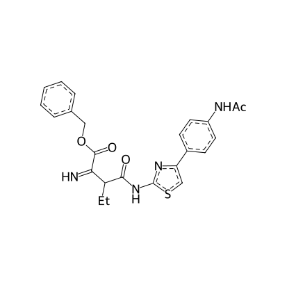 CCC(C(=N)C(=O)OCc1ccccc1)C(=O)Nc1nc(-c2ccc(NC(C)=O)cc2)cs1